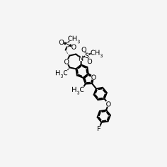 Cc1c(-c2ccc(Oc3ccc(F)cc3)cc2)oc2cc3c(cc12)[C@H](C)O[C@H](CS(C)(=O)=O)CN3S(C)(=O)=O